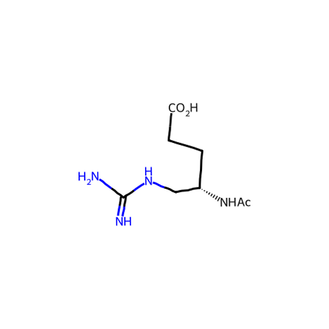 CC(=O)N[C@@H](CCC(=O)O)CNC(=N)N